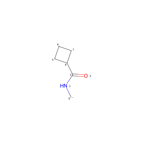 [CH2]NC(=O)C1CCC1